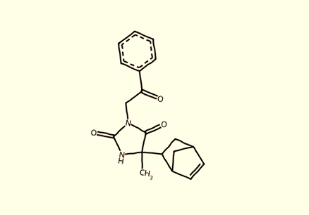 CC1(C2CC3C=CC2C3)NC(=O)N(CC(=O)c2ccccc2)C1=O